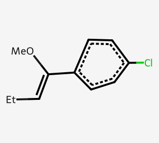 CCC=C(OC)c1ccc(Cl)cc1